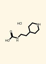 Cl.O=C(O)NCCC1CCNCC1